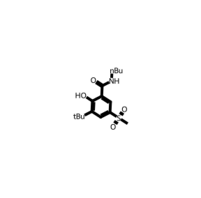 CCCCNC(=O)c1cc(S(C)(=O)=O)cc(C(C)(C)C)c1O